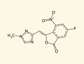 Cn1cnc(C=C2OC(=O)c3cc(F)cc([N+](=O)[O-])c32)n1